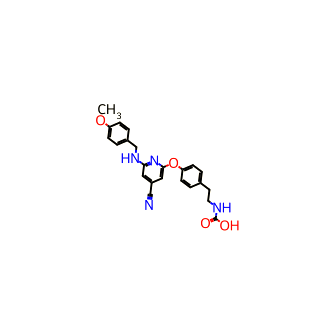 COc1ccc(CNc2cc(C#N)cc(Oc3ccc(CCNC(=O)O)cc3)n2)cc1